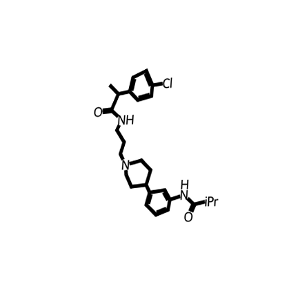 CC(C)C(=O)Nc1cccc(C2CCN(CCCNC(=O)C(C)c3ccc(Cl)cc3)CC2)c1